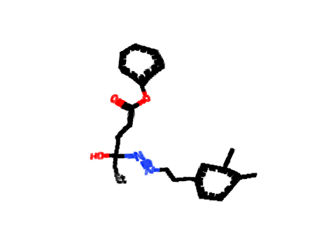 CCC(O)(CCC(=O)Oc1ccccc1)/N=N/CCc1ccc(C)c(C)c1